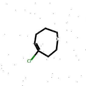 Cl/C1=[C]/CCCCCC1